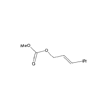 COC(=O)OCC=CC(C)C